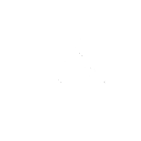 C=CCS(=O)(=O)c1nc2ccc(Cl)cc2o1.CC(=O)Nc1ccccc1[As](=O)(O)OO